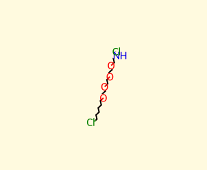 ClCCCCCCOCCOCCOCCOCCNCl